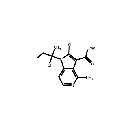 COC(=O)c1c(Cl)n(C(C)(C)CF)c2ncnc(N)c12